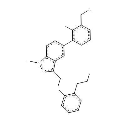 CC(C)n1nc(COc2ccccc2CCO)c2cc(-c3cccc(CN)c3O)ccc21